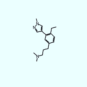 CCc1ccc(CCCN(C)C)cc1-c1cnn(C)c1